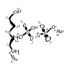 O=S(=O)(O)O.O=S(=O)([O-])[O-].OCCOCCO.[Na+].[Na+]